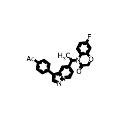 CC(=O)c1ccc(-c2cnn3ccc(C(C)N4C(=O)COc5cc(F)ccc54)cc23)cc1